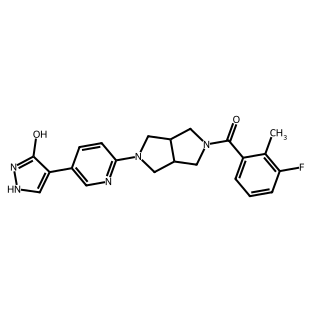 Cc1c(F)cccc1C(=O)N1CC2CN(c3ccc(-c4c[nH]nc4O)cn3)CC2C1